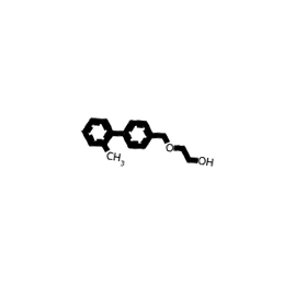 Cc1c[c]ccc1-c1ccc(COCCO)cc1